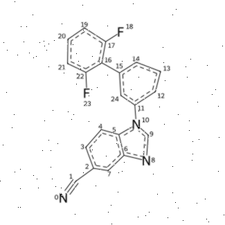 N#Cc1ccc2c(c1)ncn2-c1cccc(-c2c(F)cccc2F)c1